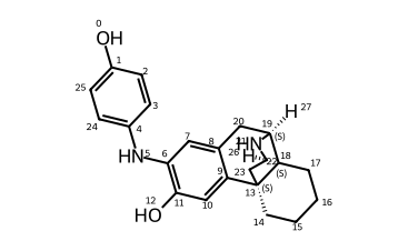 Oc1ccc(Nc2cc3c(cc2O)[C@]24CCCC[C@@H]2[C@H](C3)NCC4)cc1